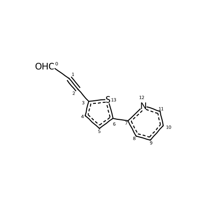 O=CC#Cc1ccc(-c2ccccn2)s1